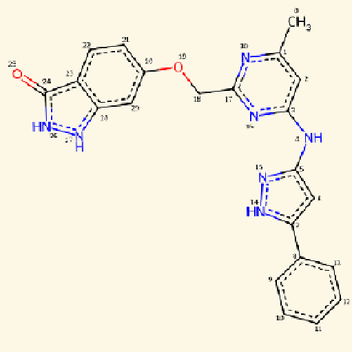 Cc1cc(Nc2cc(-c3ccccc3)[nH]n2)nc(COc2ccc3c(=O)[nH][nH]c3c2)n1